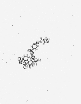 CC1=C(C(=O)O)C(c2cccc([N+](=O)[O-])c2)C(CCCOC(=O)c2ccc(OCCn3ccnc3)cc2)(C(=O)O)C(C)N1